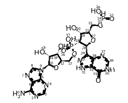 Nc1ncnc2c1ncn2[C@@H]1O[C@H](COP(=O)(O)[C@@H]2[C@H](O)[C@@H](CO[PH](=O)O)O[C@H]2c2n[nH]c3c(=O)[nH]cnc23)[C@@H](O)[C@H]1O